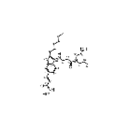 CCCCCCc1nc2cc(/C=C/C(=O)NO)ccn2c1NCCC(=O)N(CCC)CCO